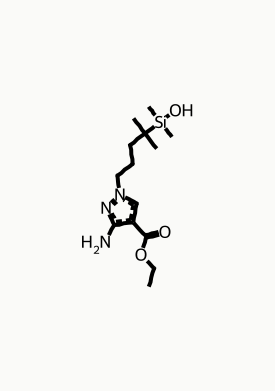 CCOC(=O)c1cn(CCCC(C)(C)[Si](C)(C)O)nc1N